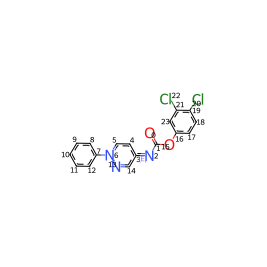 O=C(/N=c1\ccn(-c2ccccc2)nc1)Oc1ccc(Cl)c(Cl)c1